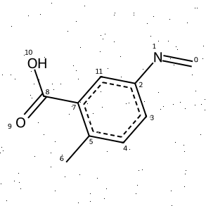 C=Nc1ccc(C)c(C(=O)O)c1